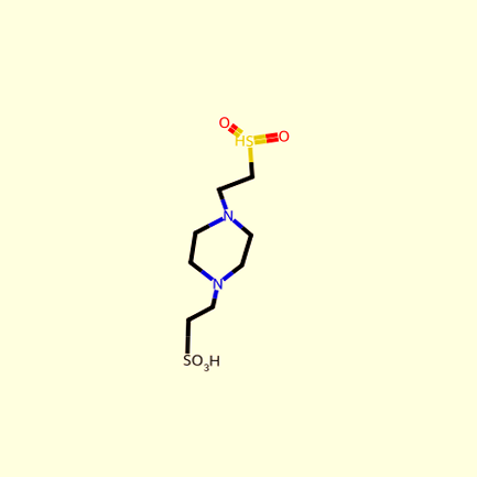 O=[SH](=O)CCN1CCN(CCS(=O)(=O)O)CC1